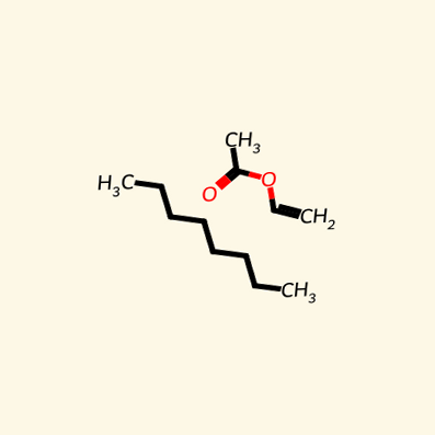 C=COC(C)=O.CCCCCCCC